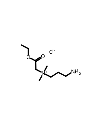 CCOC(=O)C[N+](C)(C)CCCN.[Cl-]